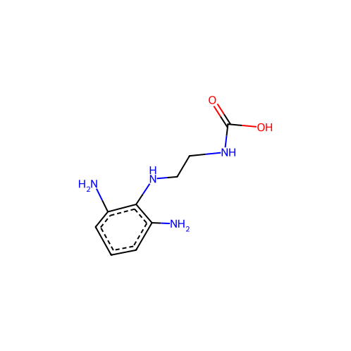 Nc1cccc(N)c1NCCNC(=O)O